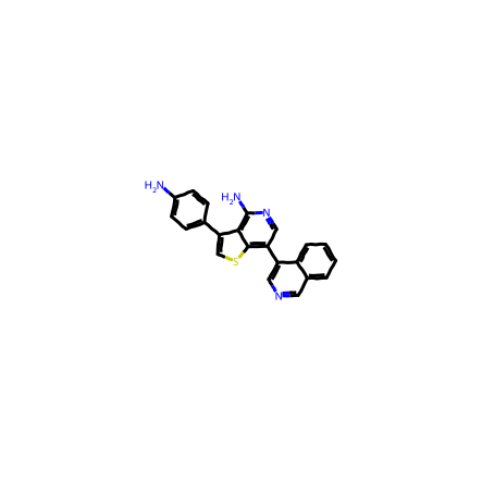 Nc1ccc(-c2csc3c(-c4cncc5ccccc45)cnc(N)c23)cc1